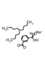 CCCCP(CCCC)CCCC.O.O=C([O-])c1cccc(C(=O)O)c1.[Na+]